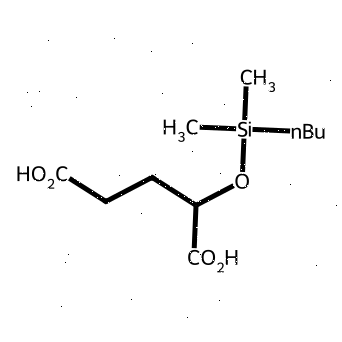 CCCC[Si](C)(C)OC(CCC(=O)O)C(=O)O